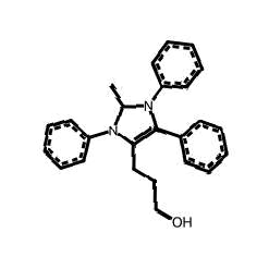 CC1N(c2ccccc2)C(CCCO)=C(c2ccccc2)N1c1ccccc1